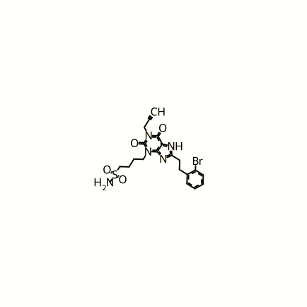 C#CCn1c(=O)c2[nH]c(CCc3ccccc3Br)nc2n(CCCCS(N)(=O)=O)c1=O